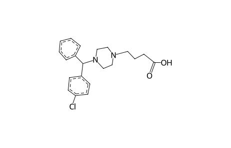 O=C(O)CCCN1CCN(C(c2ccccc2)c2ccc(Cl)cc2)CC1